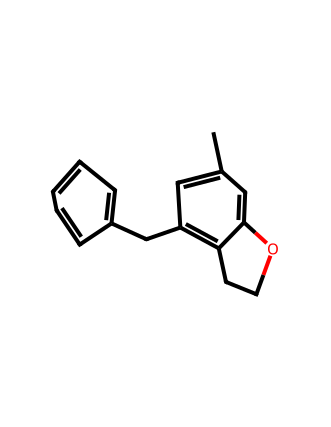 Cc1cc(Cc2ccccc2)c2c(c1)OCC2